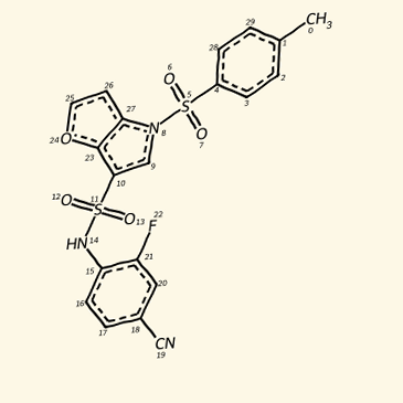 Cc1ccc(S(=O)(=O)n2cc(S(=O)(=O)Nc3ccc(C#N)cc3F)c3occc32)cc1